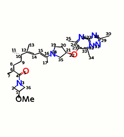 COC1CN(C(=O)[C@@H](C)CC[C@H](C)/C(C)=C/C=C(\C)N2CC[C@@H](Oc3c(C)nc4nc(C)nn4c3C)C2)C1